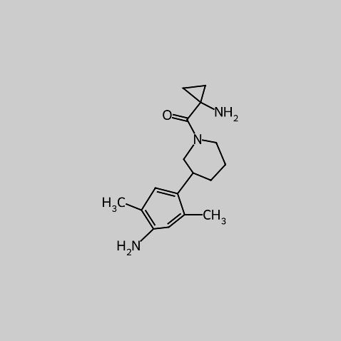 Cc1cc(C2CCCN(C(=O)C3(N)CC3)C2)c(C)cc1N